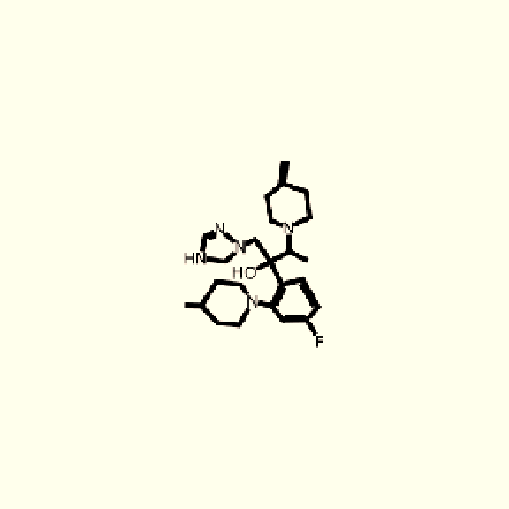 C=C1CCN(C(C)C(O)(CN2CNC=N2)c2ccc(F)cc2N2CCC(C)CC2)CC1